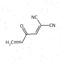 C=CC(=O)C=C(C#N)C#N